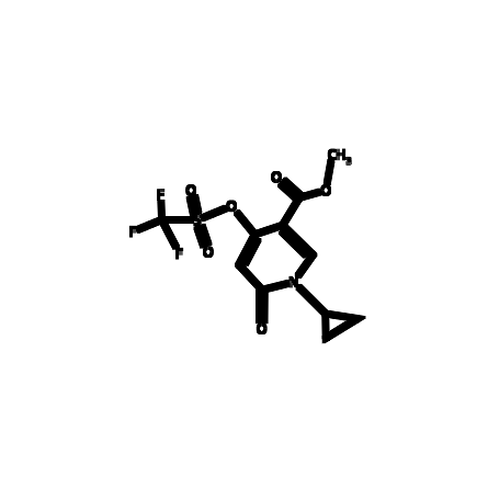 COC(=O)c1cn(C2CC2)c(=O)cc1OS(=O)(=O)C(F)(F)F